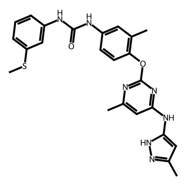 CSc1cccc(NC(=O)Nc2ccc(Oc3nc(C)cc(Nc4cc(C)n[nH]4)n3)c(C)c2)c1